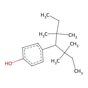 CCC(C)(C)C(c1ccc(O)cc1)C(C)(C)CC